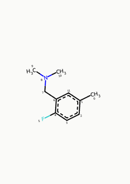 Cc1ccc(F)c(CN(C)C)c1